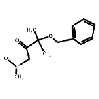 C[S+]([O-])CC(=O)C(C)(C)OCc1ccccc1